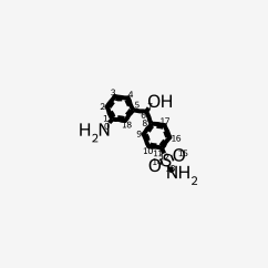 Nc1cccc(C(O)c2ccc(S(N)(=O)=O)cc2)c1